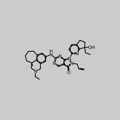 C=CCn1c(=O)c2cnc(Nc3cc4c5c(c3)CN(CC)CC5(C)CCCC4)nc2n1-c1ccc2c(n1)C(O)(CC)CC2